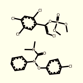 CN(C)C(=O)N(Oc1ccc(Cl)cc1)c1ccccc1.COP(=O)(OC)OC(=CCl)c1cc(Cl)c(Cl)cc1Cl